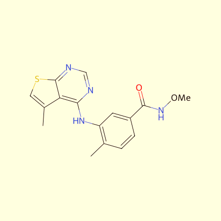 CONC(=O)c1ccc(C)c(Nc2ncnc3scc(C)c23)c1